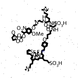 COc1cc(C(C)OC(=O)ON2C(=O)CCC2=O)c([N+](=O)[O-])cc1OCCN(C)CCNC(=O)C(CCCC[N+](C)(C)C)NC(=O)C(CS(=O)(=O)O)NC(=O)CCCOc1ccc(/C=C/C2=[N+]3C(=Cc4c(CCC[N+](C)(C)C)cc(-c5cccs5)n4[B-]3(F)F)C(CCCS(=O)(=O)O)=C2)cc1